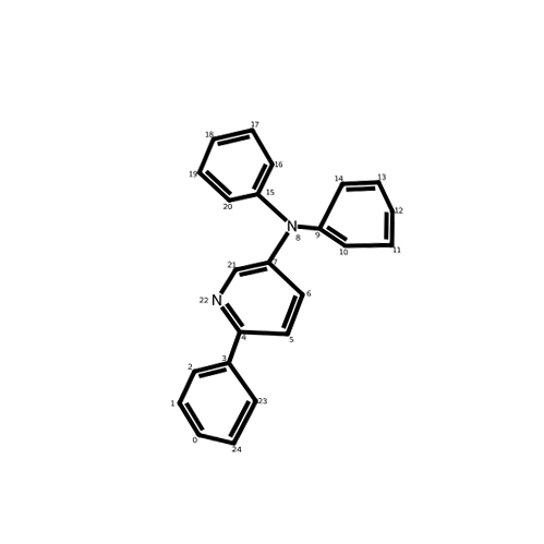 c1ccc(-c2ccc(N(c3ccccc3)c3ccccc3)cn2)cc1